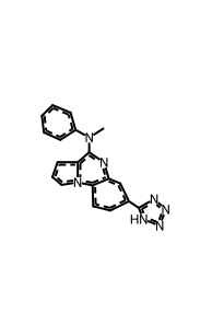 CN(c1ccccc1)c1nc2cc(-c3nnn[nH]3)ccc2n2cccc12